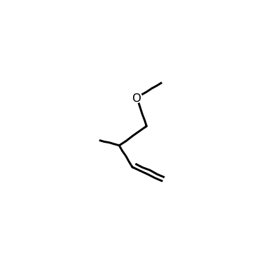 C=CC(C)COC